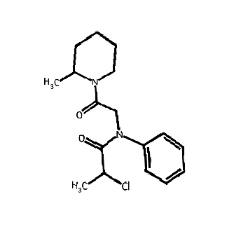 CC(Cl)C(=O)N(CC(=O)N1CCCCC1C)c1ccccc1